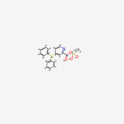 O=C(OS(=O)(=O)C(F)(F)F)c1cc([S+](c2ccccc2)c2ccccc2)ccn1